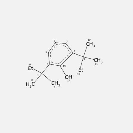 CCC(C)(C)c1c[c]cc(C(C)(C)CC)c1O